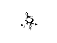 CC1OC(=O)OCC1(O)O